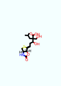 CC(C)CC(CO)(C(=O)O)C(O)CC=C1SC[C@@H]2NC(=O)O[C@H]12